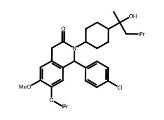 COc1cc2c(cc1OC(C)C)C(c1ccc(Cl)cc1)N(C1CCC(C(C)(O)CC(C)C)CC1)C(=O)C2